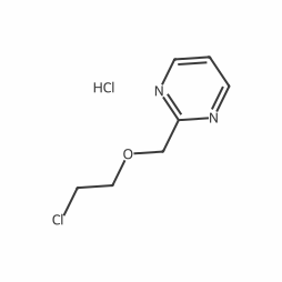 Cl.ClCCOCc1ncccn1